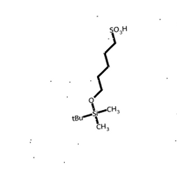 CC(C)(C)[Si](C)(C)OCCCCCS(=O)(=O)O